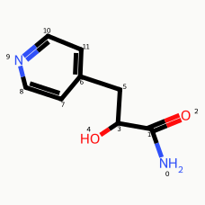 NC(=O)C(O)Cc1ccncc1